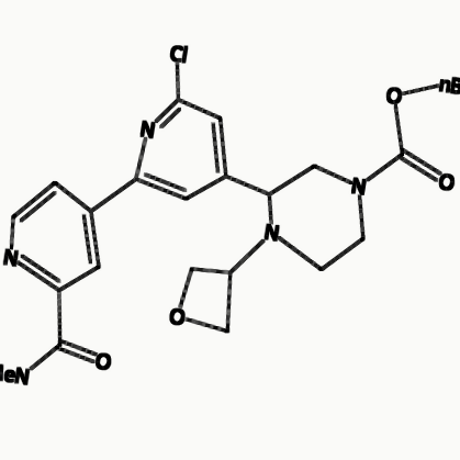 CCCCOC(=O)N1CCN(C2COC2)C(c2cc(Cl)nc(-c3ccnc(C(=O)NC)c3)c2)C1